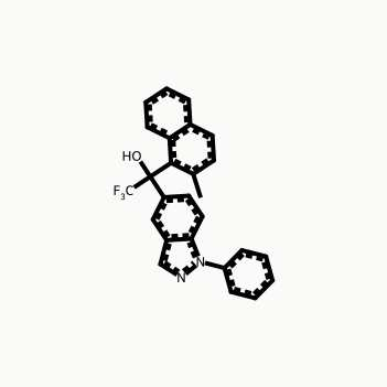 Cc1ccc2ccccc2c1C(O)(c1ccc2c(cnn2-c2ccccc2)c1)C(F)(F)F